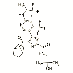 CC(Nc1cc(C(F)(F)F)c(-c2sc(C(=O)NCC(C)(C)O)nc2C(=O)N2C3CCC2CC3)cn1)C(F)(F)F